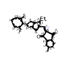 CCn1c(/C=C2/C(=O)c3ccc(C)cc3C2=O)cc2oc(-c3c(F)cccc3F)cc21